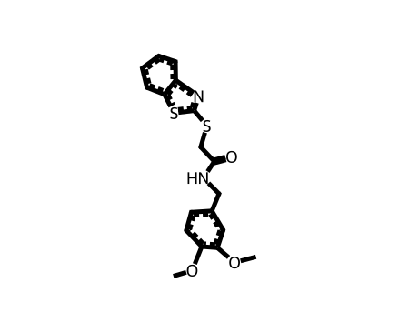 COc1ccc(CNC(=O)CSc2nc3ccccc3s2)cc1OC